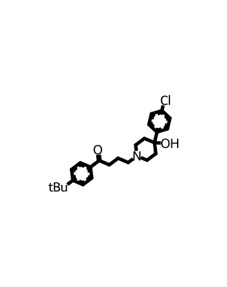 CC(C)(C)c1ccc(C(=O)CCCN2CCC(O)(c3ccc(Cl)cc3)CC2)cc1